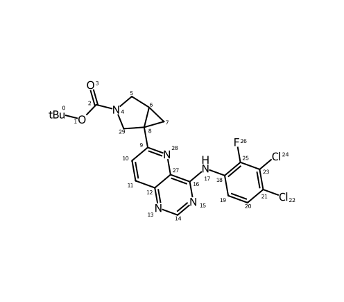 CC(C)(C)OC(=O)N1CC2CC2(c2ccc3ncnc(Nc4ccc(Cl)c(Cl)c4F)c3n2)C1